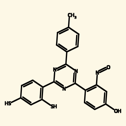 Cc1ccc(-c2nc(-c3ccc(S)cc3S)nc(-c3ccc(O)cc3N=O)n2)cc1